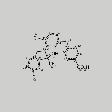 CC(c1cc(Oc2cnc(C(=O)O)cn2)ccc1Cl)C(O)(c1ccnc(Cl)c1)C(F)(F)F